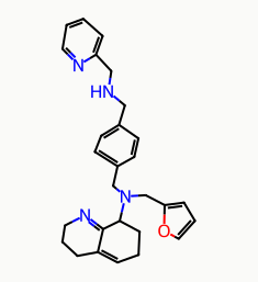 C1=C2CCCN=C2C(N(Cc2ccc(CNCc3ccccn3)cc2)Cc2ccco2)CC1